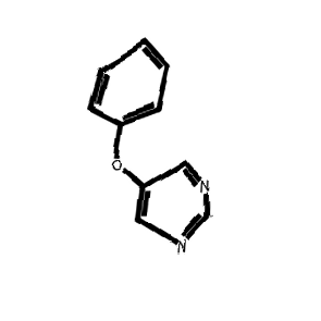 [c]1ncc(Oc2ccccc2)cn1